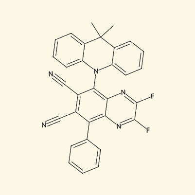 CC1(C)c2ccccc2N(c2c(C#N)c(C#N)c(-c3ccccc3)c3nc(F)c(F)nc23)c2ccccc21